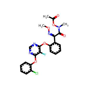 CON=C(C(=O)N(C)OC(C)=O)c1ccccc1Oc1ncnc(Oc2ccccc2Cl)c1F